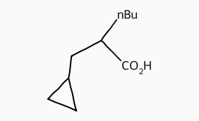 CCCCC(CC1CC1)C(=O)O